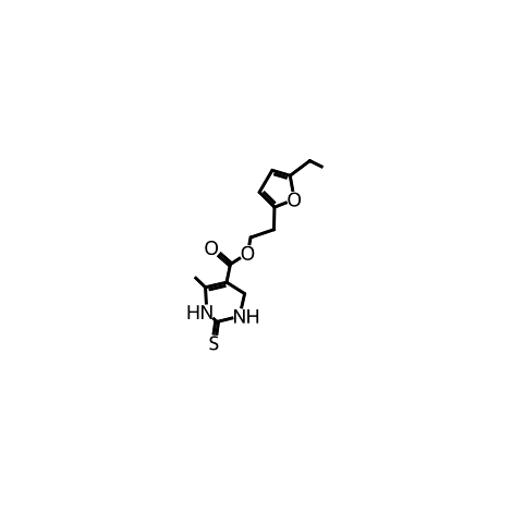 CCc1ccc(CCOC(=O)C2=C(C)NC(=S)NC2)o1